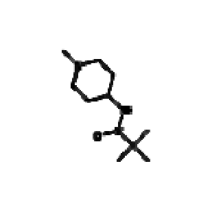 CN1CCC(N[S+]([O-])C(C)(C)C)CC1